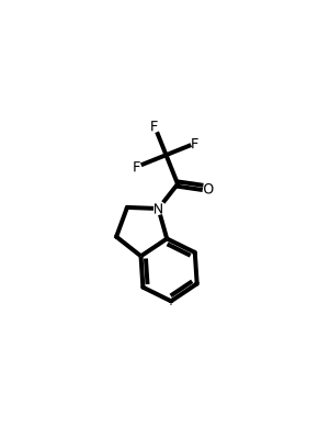 O=C(N1CCc2c[c]ccc21)C(F)(F)F